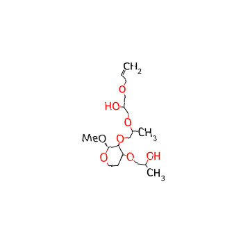 C=CCOCC(O)COC(C)CO[C@H]1C(OCC(C)O)CCO[C@H]1OC